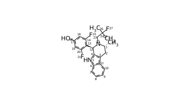 C[C@@H]1Cc2c([nH]c3ccccc23)[C@@H](c2c(F)cc(O)cc2F)N1CC(C)(C)F